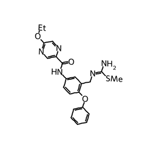 CCOc1cnc(C(=O)Nc2ccc(Oc3ccccc3)c(C/N=C(/N)SC)c2)cn1